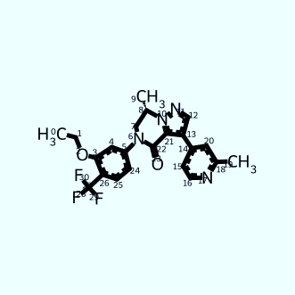 CCOc1cc(N2C[C@H](C)n3ncc(-c4ccnc(C)c4)c3C2=O)ccc1C(F)(F)F